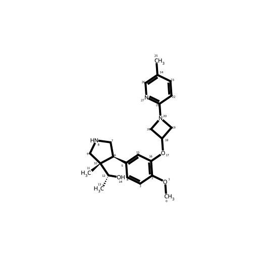 COc1ccc([C@@H]2CNC[C@@]2(C)[C@@H](C)O)cc1OC1CN(c2ccc(C)cn2)C1